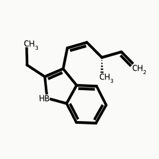 C=C[C@H](C)/C=C\C1=C(CC)Bc2ccccc21